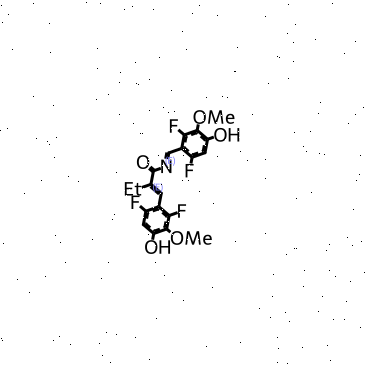 CC/C(=C\c1c(F)cc(O)c(OC)c1F)C(=O)/N=C/c1c(F)cc(O)c(OC)c1F